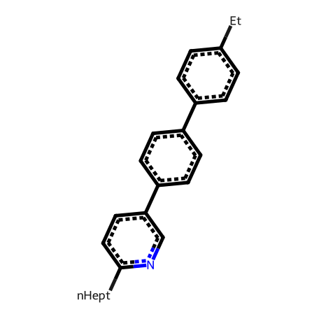 CCCCCCCc1ccc(-c2ccc(-c3ccc(CC)cc3)cc2)cn1